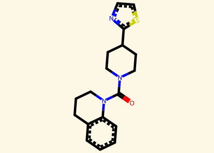 O=C(N1CCC(c2nccs2)CC1)N1CCCc2ccccc21